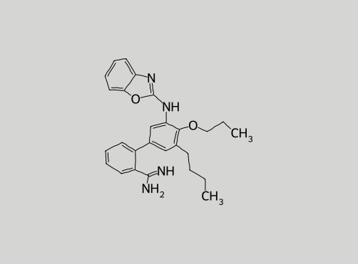 CCCCc1cc(-c2ccccc2C(=N)N)cc(Nc2nc3ccccc3o2)c1OCCC